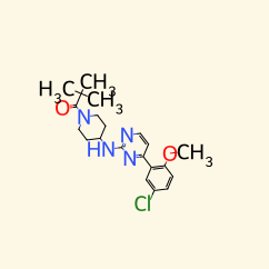 COc1ccc(Cl)cc1-c1ccnc(NC2CCN(C(=O)C(C)(C)C)CC2)n1